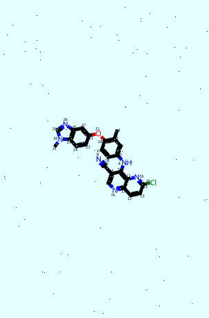 Cc1cc(Nc2c(C#N)cnc3ccc(Cl)nc23)ccc1Oc1ccc2c(c1)ncn2C